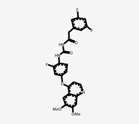 COc1cc2nccc(Oc3ccc(NC(=O)NC(=O)Cc4cc(F)cc(F)c4)c(F)c3)c2cc1OC